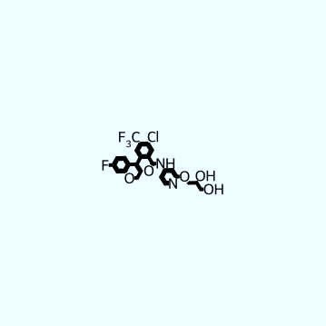 O=C(Nc1ccnc(OC[C@H](O)CO)c1)c1cc(Cl)c(C(F)(F)F)cc1C1=CCOc2cc(F)ccc21